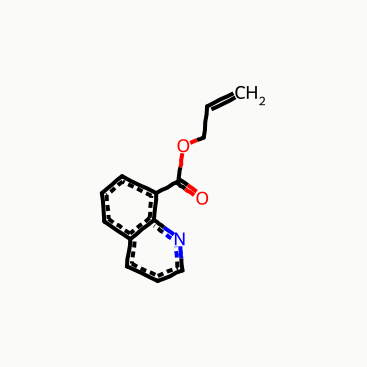 C=CCOC(=O)c1cccc2cccnc12